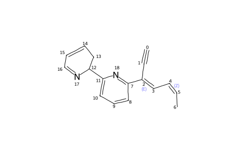 C#C/C(=C\C=C/C)c1cccc(C2CC=CC=N2)n1